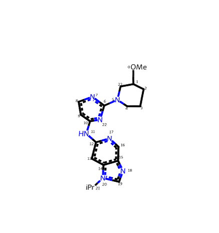 COC1CCCN(c2nccc(Nc3cc4c(cn3)ncn4C(C)C)n2)C1